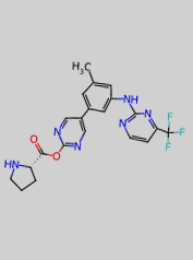 Cc1cc(Nc2nccc(C(F)(F)F)n2)cc(-c2cnc(OC(=O)[C@@H]3CCCN3)nc2)c1